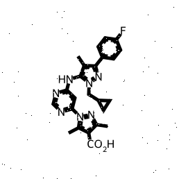 Cc1nn(-c2cc(Nc3c(C)c(-c4ccc(F)cc4)nn3CC3CC3)ncn2)c(C)c1C(=O)O